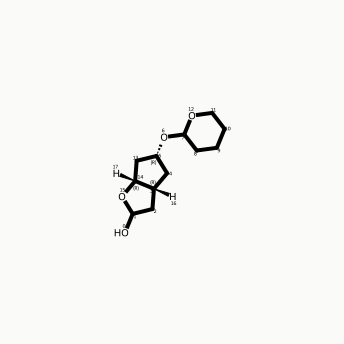 OC1C[C@H]2C[C@@H](OC3CCCCO3)C[C@H]2O1